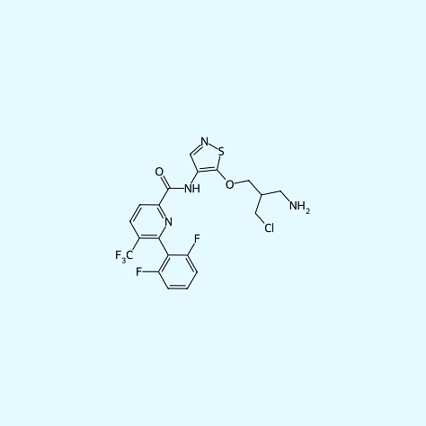 NCC(CCl)COc1sncc1NC(=O)c1ccc(C(F)(F)F)c(-c2c(F)cccc2F)n1